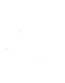 CO[SiH](OC)C(C)(C)c1ccccn1